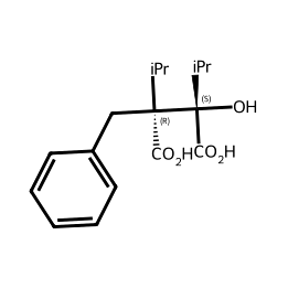 CC(C)[C@@](O)(C(=O)O)[C@](Cc1ccccc1)(C(=O)O)C(C)C